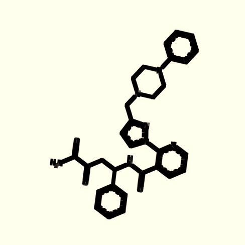 NC(=O)C(=O)CC(NC(=O)c1cccnc1-n1ccc(CN2CCN(c3ccccc3)CC2)n1)c1ccccc1